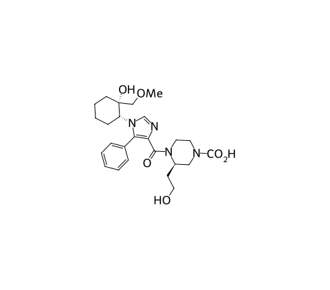 COC[C@]1(O)CCCC[C@H]1n1cnc(C(=O)N2CCN(C(=O)O)C[C@H]2CCO)c1-c1ccccc1